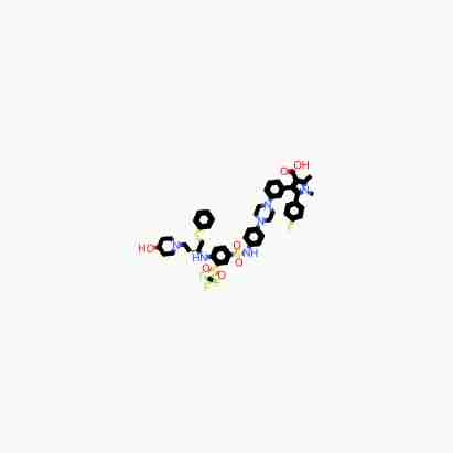 Cc1c(C(=O)O)c(-c2cccc(N3CCN(c4ccc(NS(=O)(=O)c5ccc(N[C@H](CCN6CCC(O)CC6)CSc6ccccc6)c(S(=O)(=O)C(F)(F)F)c5)cc4)CC3)c2)c(-c2ccc(F)cc2)n1C